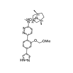 COCOc1cc(-c2cn[nH]c2)ccc1-c1ccc(N(C)[C@@H]2C[C@]3(C)CC[C@](C)(C2)N3C(=O)O)nn1